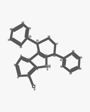 Clc1cccc2c3c([nH]c12)C(c1ccccc1)CCC3c1ccccc1